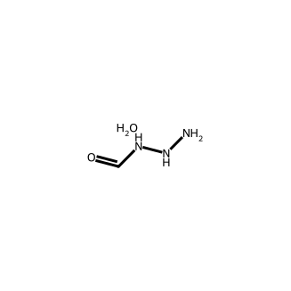 NNNC=O.O